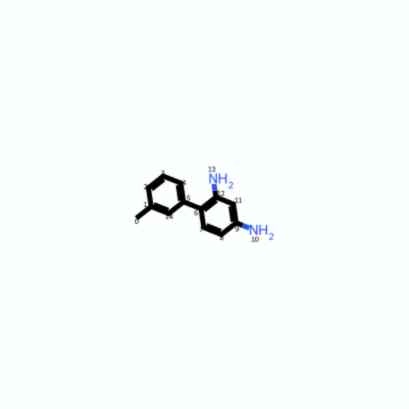 Cc1cccc(-c2ccc(N)cc2N)c1